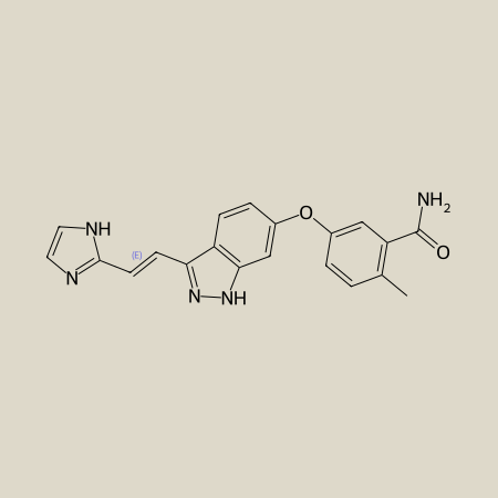 Cc1ccc(Oc2ccc3c(/C=C/c4ncc[nH]4)n[nH]c3c2)cc1C(N)=O